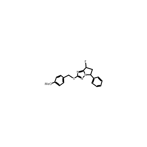 COc1ccc(CSc2nc3n(n2)C(c2ccccc2)CC3F)cc1